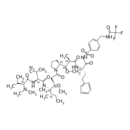 CC[C@H](C)[C@@H]([C@@H](CC(=O)N1CCC[C@H]1[C@H](OC)[C@@H](C)C(=O)N[C@@H](CCc1ccccc1)C(=O)NS(=O)(=O)c1ccc(CNC(=O)C(F)(F)F)cc1)OC)N(C)C(=O)[C@@H](NC(=O)[C@H](C(C)C)N(C)C)C(C)C